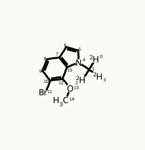 [2H]C([2H])([2H])n1ccc2ccc(Br)c(OC)c21